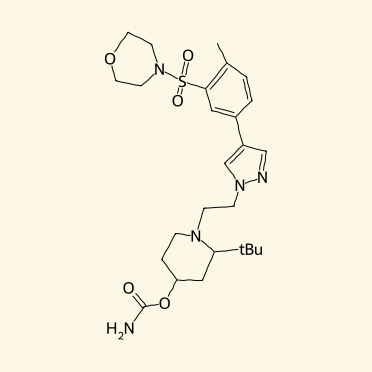 Cc1ccc(-c2cnn(CCN3CCC(OC(N)=O)CC3C(C)(C)C)c2)cc1S(=O)(=O)N1CCOCC1